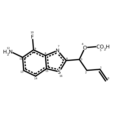 C=CCC(OC(=O)O)c1nc2c(F)c(N)ccc2s1